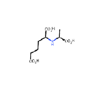 C[C@H](NC(CCCC(=O)O)C(=O)O)C(=O)O